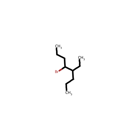 CC[CH]C(CC)C(Br)CCC